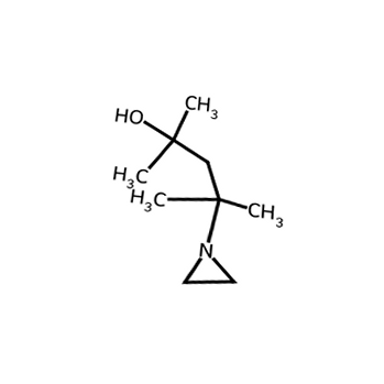 CC(C)(O)CC(C)(C)N1CC1